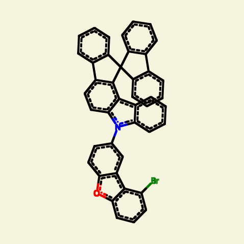 Brc1cccc2oc3ccc(-n4c5ccccc5c5c6c(ccc54)-c4ccccc4C64c5ccccc5-c5ccccc54)cc3c12